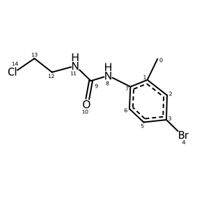 Cc1cc(Br)ccc1NC(=O)NCCCl